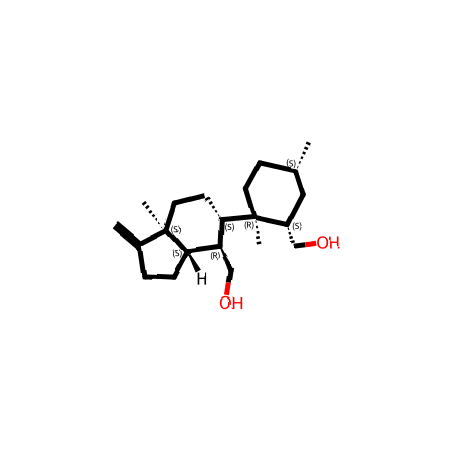 C=C1CC[C@H]2[C@H](CO)[C@@H]([C@@]3(C)CC[C@H](C)C[C@@H]3CO)CC[C@]12C